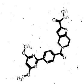 COc1cc(OC)nc(-c2ccc(C(=O)N3CCc4sc(C(=O)NO)cc4C3)cc2)n1